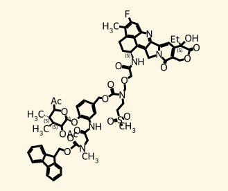 CC[C@@]1(O)C(=O)OCc2c1cc1n(c2=O)Cc2c-1nc1cc(F)c(C)c3c1c2[C@@H](NC(=O)COCN(CCS(C)(=O)=O)C(=O)OCc1ccc(O[C@@H]2OC(C(C)=O)[C@@H](C)[C@H](C)C2OC(C)=O)c(NC(=O)CN(C)C(=O)OCC2c4ccccc4-c4ccccc42)c1)CC3